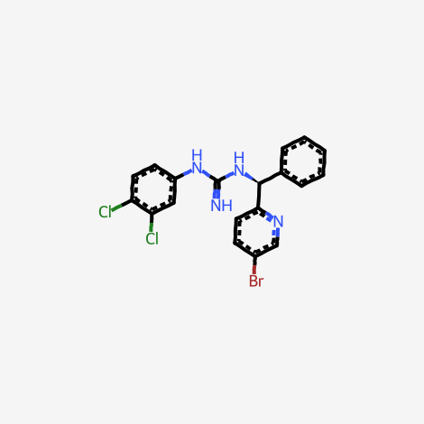 N=C(Nc1ccc(Cl)c(Cl)c1)N[C@@H](c1ccccc1)c1ccc(Br)cn1